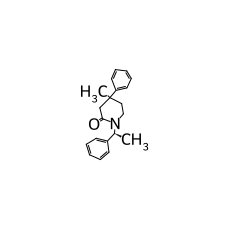 C[C@@H](c1ccccc1)N1CCC(C)(c2ccccc2)CC1=O